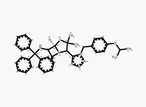 CC(C)Oc1ccc(Cn2nnnc2C2N3C(=O)C(NC(c4ccccc4)(c4ccccc4)c4ccccc4)[C@H]3SC2(C)C)cc1